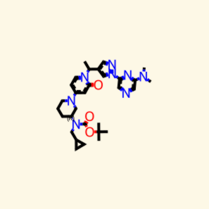 CC(c1cnn(-c2cncc(N(C)C)n2)c1)n1ccc(N2CCC[C@@H](N(CC3CC3)C(=O)OC(C)(C)C)C2)cc1=O